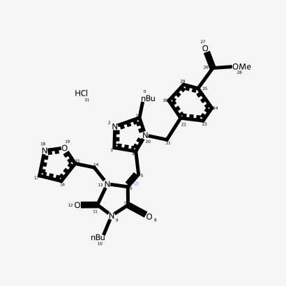 CCCCc1ncc(/C=C2/C(=O)N(CCCC)C(=O)N2Cc2ccno2)n1Cc1ccc(C(=O)OC)cc1.Cl